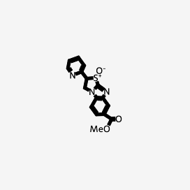 COC(=O)c1ccc2c(c1)nc1n2CC(c2ccccn2)[S+]1[O-]